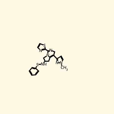 Cn1ccc(C2=C3CC(NSc4ccccc4)CN3C(c3nccs3)=NC2)n1